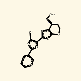 CO/N=C1\CCOc2sc(-c3sc(-c4cccnc4)nc3C)nc21